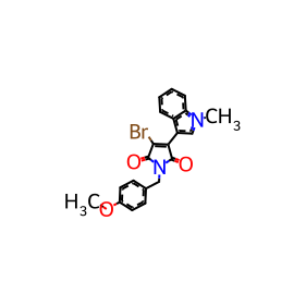 COc1ccc(CN2C(=O)C(Br)=C(c3cn(C)c4ccccc34)C2=O)cc1